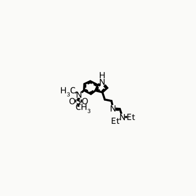 CCN(C=NCCc1c[nH]c2ccc(N(C)S(C)(=O)=O)cc12)CC